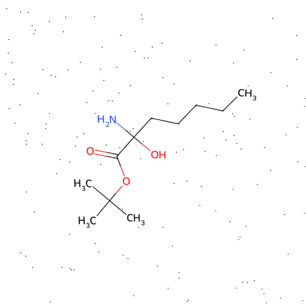 CCCCCC(N)(O)C(=O)OC(C)(C)C